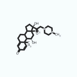 CN1CCN(CC(=O)[C@@]2(O)CCC3C4CCC5=CC(=O)C=CC5(C)C4[C@@H](O)CC32C)CC1